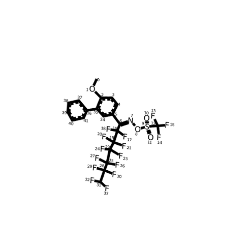 COc1ccc(C(=NOS(=O)(=O)C(F)(F)F)C(F)(F)C(F)(F)C(F)(F)C(F)(F)C(F)(F)C(F)F)cc1-c1ccccc1